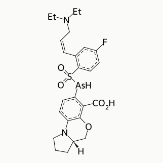 CCN(CC)C/C=C\c1cc(F)ccc1S(=O)(=O)[AsH]c1ccc2c(c1C(=O)O)OC[C@@H]1CCCN21